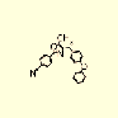 Cc1oc(-c2ccc(C#N)cc2)nc1Cc1ccc(Oc2ccccc2)cc1